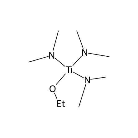 CC[O][Ti]([N](C)C)([N](C)C)[N](C)C